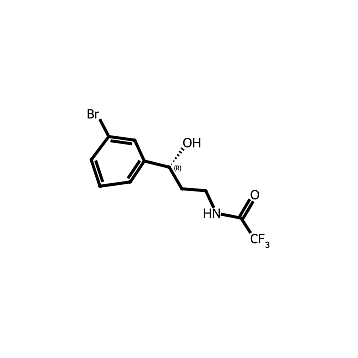 O=C(NCC[C@@H](O)c1cccc(Br)c1)C(F)(F)F